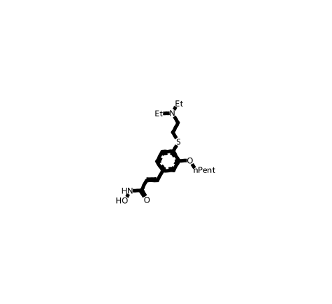 CCCCCOc1cc(/C=C/C(=O)NO)ccc1SCCN(CC)CC